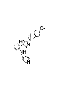 COc1ccc(CNc2nnc(-c3ccccc3NCc3ccncc3)[nH]2)cc1